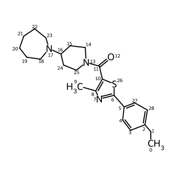 CCc1ccc(-c2nc(C)c(C(=O)N3CCC(N4CCCCCC4)CC3)s2)cc1